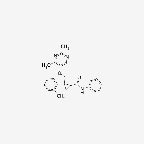 Cc1ncc(OCC2(c3ccccc3C)CC2C(=O)Nc2cccnc2)c(C)n1